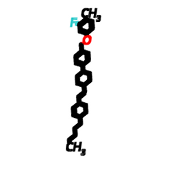 CCCCCC1C=CC(/C=C/C2CCC(c3ccc(COc4ccc(C)c(F)c4)cc3)CC2)CC1